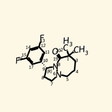 CC1(C)CCCN2CC[C@H](c3cc(F)cc(F)c3)N2C1=O